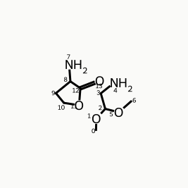 COC(CN)OC.NC1CCOC1=O